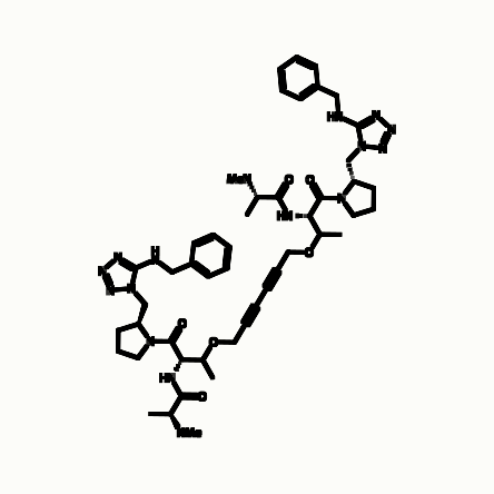 CN[C@@H](C)C(=O)N[C@H](C(=O)N1CCC[C@H]1Cn1nnnc1NCc1ccccc1)C(C)OCC#CC#CCOC(C)[C@H](NC(=O)[C@H](C)NC)C(=O)N1CCC[C@H]1Cn1nnnc1NCc1ccccc1